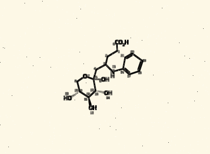 O=C(O)CCC(CC1(O)OC[C@@H](O)[C@H](O)[C@H]1O)Nc1ccccc1